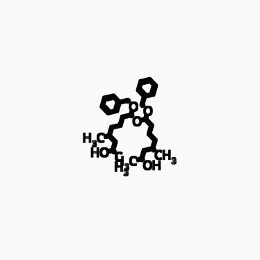 CC(O)CC(C)CCCC(OCc1ccccc1)OC(CCCC(C)CC(C)O)OCc1ccccc1